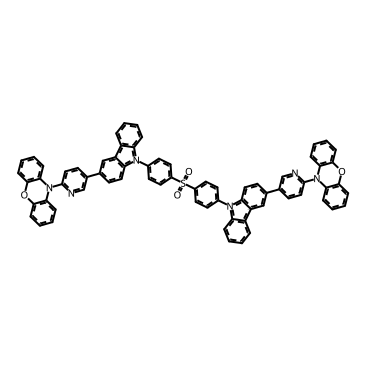 O=S(=O)(c1ccc(-n2c3ccccc3c3cc(-c4ccc(N5c6ccccc6Oc6ccccc65)nc4)ccc32)cc1)c1ccc(-n2c3ccccc3c3cc(-c4ccc(N5c6ccccc6Oc6ccccc65)nc4)ccc32)cc1